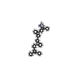 C=N/C=N\c1c(C)n(-c2ccccc2)c2ccc(-n3c4ccccc4c4cc(-c5ccc6c(c5)c5ccccc5n6-c5cccc(-c6cc(-c7ccccc7)nc(-c7ccccc7)c6)c5)ccc43)cc12